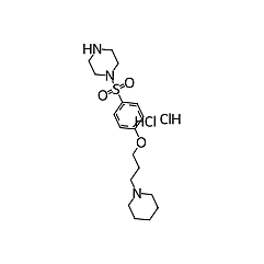 Cl.Cl.O=S(=O)(c1ccc(OCCCN2CCCCC2)cc1)N1CCNCC1